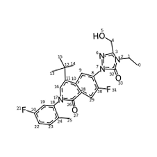 CCn1c(CO)nn(-c2cc3c(C(C)(C)C)cn(-c4cc(F)ccc4C)c(=O)c3cc2F)c1=O